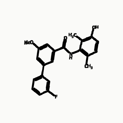 COc1cc(C(=O)Nc2c(C)ccc(O)c2C)cc(-c2cccc(F)c2)c1